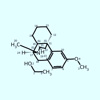 CCO.COc1ccc2c(c1)[C@]13CCCC[C@@H]1[C@H](C2)N(C)CC3